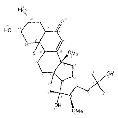 CO[C@H](CCC(C)(C)O)[C@](C)(O)C1CC[C@@]2(OC)C3=CC(=O)C4C[C@@H](O)[C@@H](O)CC4(C)C3CCC12C